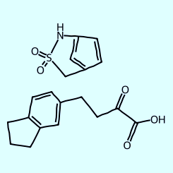 O=C(O)C(=O)CCc1ccc2c(c1)CCC2.O=S1(=O)Cc2ccc(cc2)N1